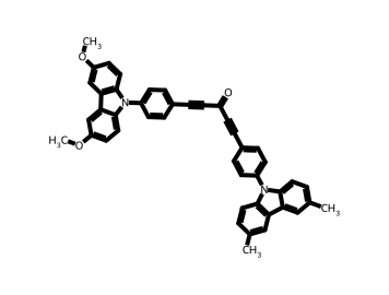 COc1ccc2c(c1)c1cc(OC)ccc1n2-c1ccc(C#CC(=O)C#Cc2ccc(-n3c4ccc(C)cc4c4cc(C)ccc43)cc2)cc1